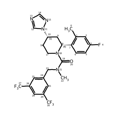 Cc1cc(F)ccc1[C@H]1C[C@@H](n2cncn2)CCN1C(=O)N(C)Cc1cc(C(F)(F)F)cc(C(F)(F)F)c1